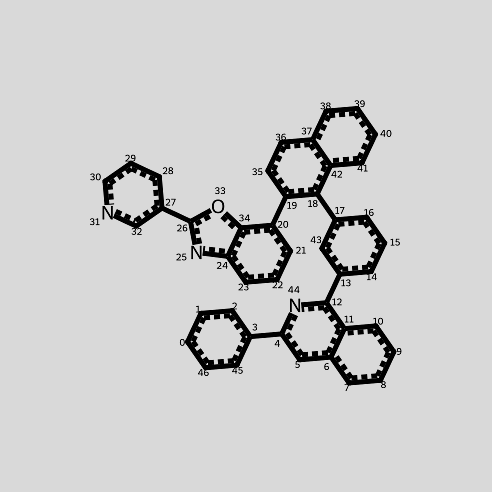 c1ccc(-c2cc3ccccc3c(-c3cccc(-c4c(-c5cccc6nc(-c7cccnc7)oc56)ccc5ccccc45)c3)n2)cc1